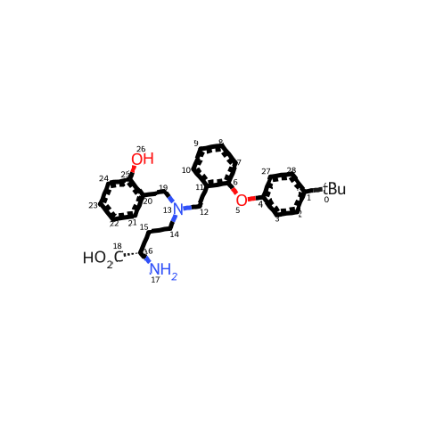 CC(C)(C)c1ccc(Oc2ccccc2CN(CC[C@H](N)C(=O)O)Cc2ccccc2O)cc1